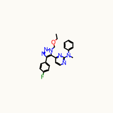 CCOCn1nnc(-c2ccc(F)cc2)c1-c1ccnc(N(C)c2ccccc2)n1